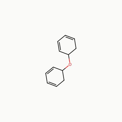 C1=CCC(OC2C=CC=CC2)C=C1